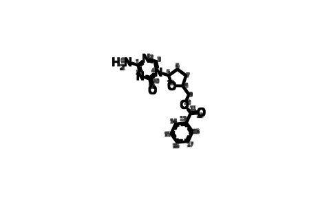 Nc1ncn(C2CCC(COC(=O)c3ccccc3)O2)c(=O)n1